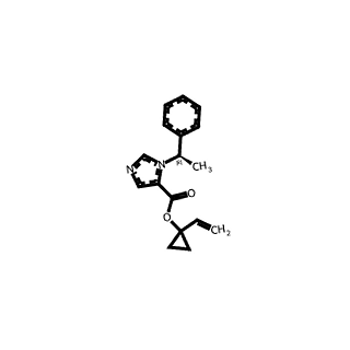 C=CC1(OC(=O)c2cncn2[C@H](C)c2ccccc2)CC1